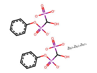 O=P([O-])([O-])C(O)P(=O)([O-])Oc1ccccc1.O=P([O-])([O-])C(O)P(=O)([O-])Oc1ccccc1.[Zn+2].[Zn+2].[Zn+2]